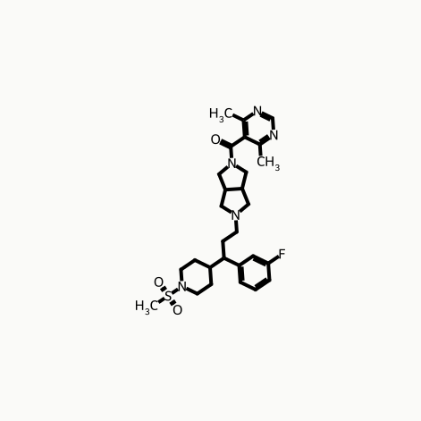 Cc1ncnc(C)c1C(=O)N1CC2CN(CCC(c3cccc(F)c3)C3CCN(S(C)(=O)=O)CC3)CC2C1